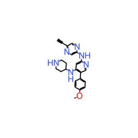 C#Cc1cnc(Nc2cc(NC3CCNCC3)c(-c3ccc(OC)cc3)cn2)cn1